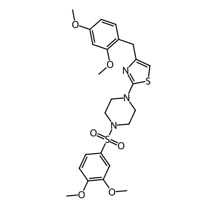 COc1ccc(Cc2csc(N3CCN(S(=O)(=O)c4ccc(OC)c(OC)c4)CC3)n2)c(OC)c1